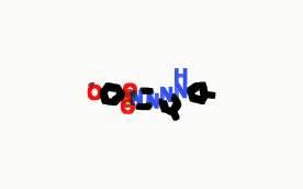 COc1ccc(S(=O)(=O)N2CCN(c3cc(C)cc(Nc4ccc(C)cc4)n3)CC2)cc1